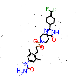 Cc1cc(N(C)C(N)=O)cc(C)c1CCS(=O)(=O)N1CCC2(CC1)N=C(C1CCC(=C(F)F)CC1)NC2=O